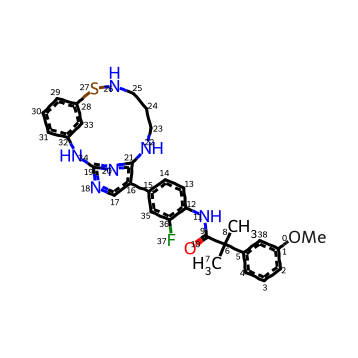 COc1cccc(C(C)(C)C(=O)Nc2ccc(-c3cnc4nc3NCCCNSc3cccc(c3)N4)cc2F)c1